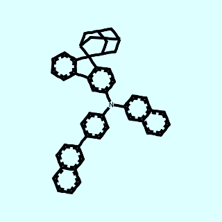 c1ccc2c(c1)-c1cc(N(c3ccc(-c4ccc5ccccc5c4)cc3)c3ccc4ccccc4c3)ccc1C21C2CC3CC(C2)CC1C3